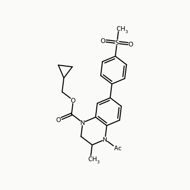 CC(=O)N1c2ccc(-c3ccc(S(C)(=O)=O)cc3)cc2N(C(=O)OCC2CC2)CC1C